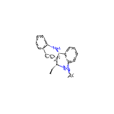 CC(=O)N1c2ccccc2[C@H](Nc2ccccc2C(=O)O)C[C@@H]1C